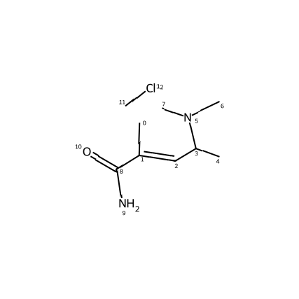 CC(=CC(C)N(C)C)C(N)=O.CCl